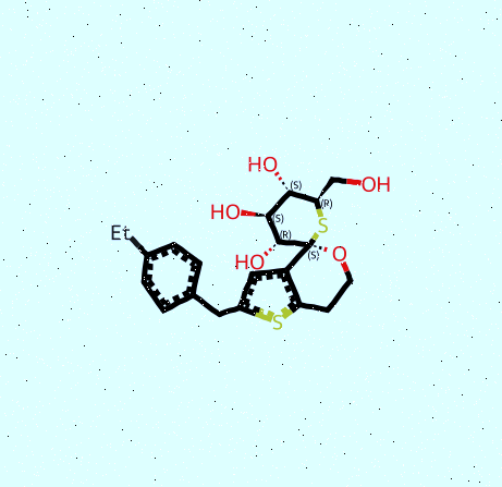 CCc1ccc(Cc2cc3c(s2)CCO[C@]32S[C@H](CO)[C@@H](O)[C@H](O)[C@H]2O)cc1